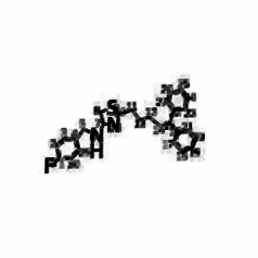 Fc1ccc(CNC2CSC(CCCCC(c3ccccc3)c3ccccc3)=N2)cc1